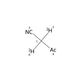 [2H]C([2H])(C#N)C(C)=O